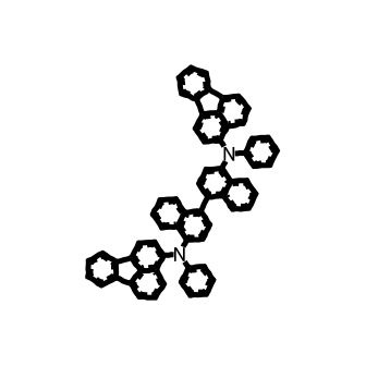 c1ccc(N(c2ccc(-c3ccc(N(c4ccccc4)c4ccc5c6c(cccc46)-c4ccccc4-5)c4ccccc34)c3ccccc23)c2ccc3c4c(cccc24)-c2ccccc2-3)cc1